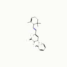 CC1=CCCC(C)(C)C1/C=C/C1=CC2C(N=C3C=CC=CN32)C(=O)O1